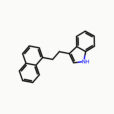 [CH](Cc1cccc2ccccc12)c1c[nH]c2ccccc12